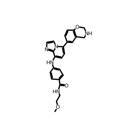 COCCNC(=O)c1ccc(Nc2ccc(-c3ccc4c(c3)CNCO4)n3ccnc23)cc1